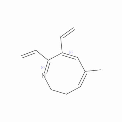 C=CC1=C/C(C)=CCC/N=C\1C=C